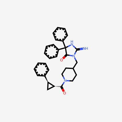 N=C1NC(c2ccccc2)(c2ccccc2)C(=O)N1CC1CCN(C(=O)[C@@H]2C[C@H]2c2ccccc2)CC1